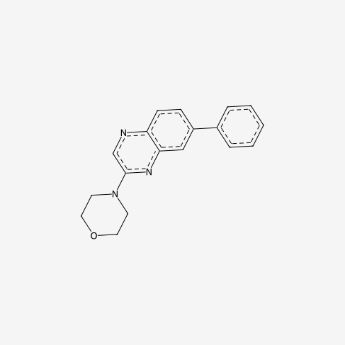 c1ccc(-c2ccc3ncc(N4CCOCC4)nc3c2)cc1